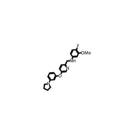 COc1cc(NCc2ccc(Oc3cccc(N4CCCC4)c3)cn2)ccc1F